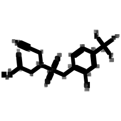 N#CCN(CC(N)=O)S(=O)(=O)Cc1ccc(C(F)(F)F)cc1Cl